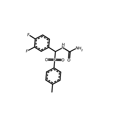 Cc1ccc(S(=O)(=O)C(NC(N)=O)c2ccc(F)c(F)c2)cc1